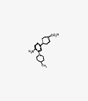 CC1CCN(c2cc(C3CCN(C(=O)O)CC3)ccc2N)CC1